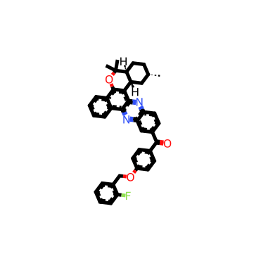 C[C@H]1CC[C@H]2[C@H](C1)c1c(c3ccccc3c3nc4cc(C(=O)c5ccc(OCc6ccccc6F)cc5)ccc4nc13)OC2(C)C